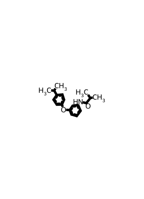 CC(C)C(=O)Nc1cccc(Oc2ccc(C(C)C)cc2)c1